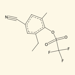 CCc1cc(C#N)cc(C)c1OS(=O)(=O)C(F)(F)F